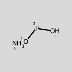 N.[O-][I+]O